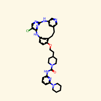 O=C(Nc1cccc(N2CCCCC2)n1)N1CCC(CCOc2ccc3cc2CCc2cncc(c2)Nc2ncc(Cl)c(n2)N3)CC1